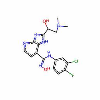 CN(C)CC(O)c1nc2nccc(/C(=N/O)Nc3ccc(F)c(Cl)c3)c2[nH]1